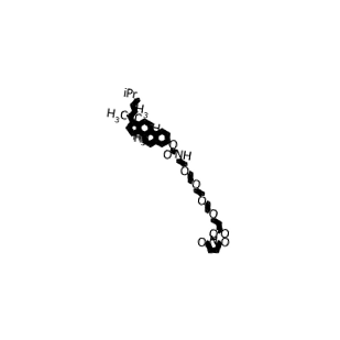 CC(C)CCC[C@@H](C)C1CC[C@H]2C3CC=C4C[C@@H](OC(=O)NCCOCCOCCOCCOCCC(=O)ON5C(=O)CCC5=O)CC[C@]4(C)[C@H]3CC[C@]12C